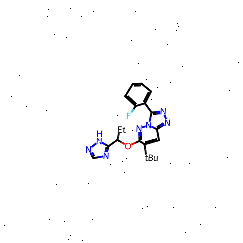 CCC(Oc1nn2c(-c3ccccc3F)nnc2cc1C(C)(C)C)c1ncn[nH]1